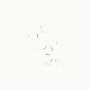 C[C@H]1OC(C)(C)N(C(=O)OC(C)(C)C)[C@H]1COc1c(Cl)cc(C(=N)NO)cc1Cl